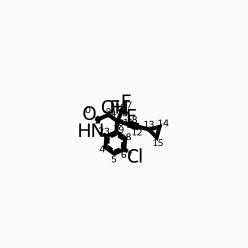 O=C1Nc2ccc(Cl)cc2C(C#CC2CC2)(C(F)(F)F)C1O